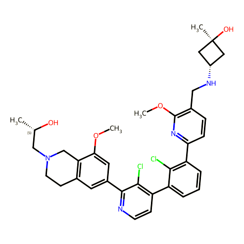 COc1cc(-c2nccc(-c3cccc(-c4ccc(CN[C@H]5C[C@](C)(O)C5)c(OC)n4)c3Cl)c2Cl)cc2c1CN(C[C@H](C)O)CC2